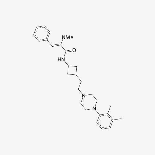 CN/C(=C\c1ccccc1)C(=O)NC1CC(CCN2CCN(c3cccc(C)c3C)CC2)C1